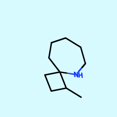 CC1CCC12CCCCCN2